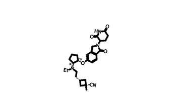 CCN(CC[C@H]1C[C@@](C)(C#N)C1)[C@H]1CCC[C@@H]1Oc1ccc2c(c1)CN(C1CCC(=O)NC1=O)C2=O